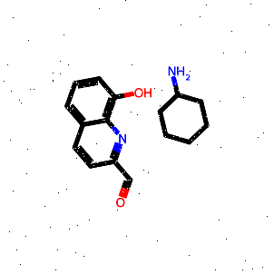 NC1CCCCC1.O=Cc1ccc2cccc(O)c2n1